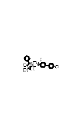 CCN(CC)C(=O)C(c1ccccc1)N1CCN(c2ccc(-c3ccc(Cl)cc3)cc2F)CC1